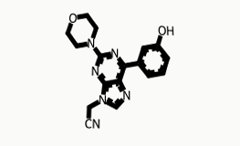 N#CCn1cnc2c(-c3cccc(O)c3)nc(N3CCOCC3)nc21